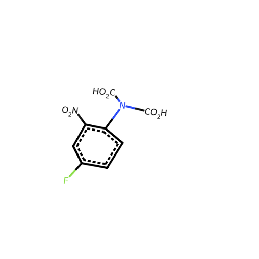 O=C(O)N(C(=O)O)c1ccc(F)cc1[N+](=O)[O-]